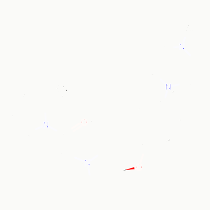 CC(=O)N1CCN(c2ccc(O[C@H]3CCN(CC(=O)N4CCCC4C#N)C3)cc2)CC1